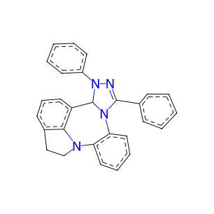 c1ccc(C2=NN(c3ccccc3)C3c4cccc5c4N(CC5)c4ccccc4N23)cc1